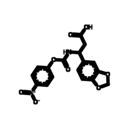 O=C(O)CC(NC(=O)Oc1ccc([N+](=O)[O-])cc1)c1ccc2c(c1)OCO2